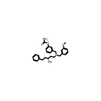 COc1cccc(CN(CC[C@H](O)[CH]Cc2ccccc2)Cc2cccc(OC(N)=O)c2)c1